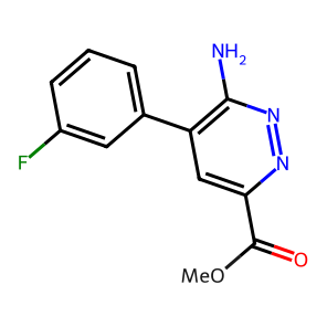 COC(=O)c1cc(-c2cccc(F)c2)c(N)nn1